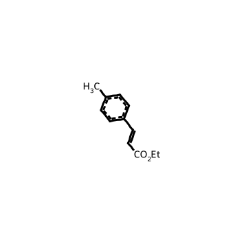 CCOC(=O)C=Cc1ccc(C)cc1